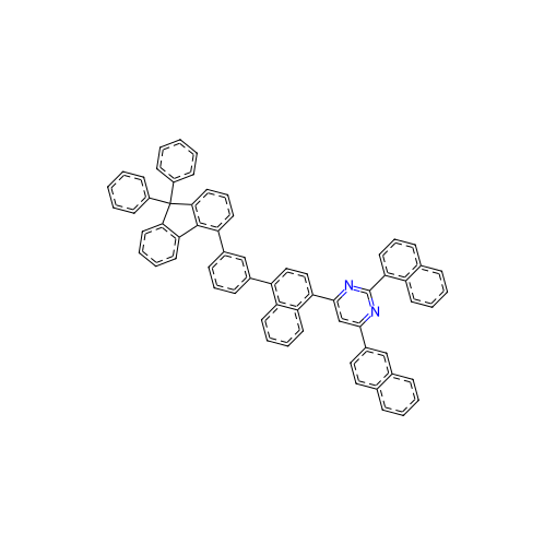 c1ccc(C2(c3ccccc3)c3ccccc3-c3c(-c4cccc(-c5ccc(-c6cc(-c7ccc8ccccc8c7)nc(-c7cccc8ccccc78)n6)c6ccccc56)c4)cccc32)cc1